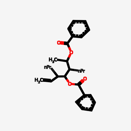 C=CC(CCC)C(OC(=O)c1ccccc1)C(CCC)C(C)OC(=O)c1ccccc1